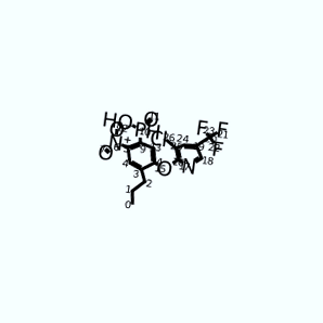 CCCc1cc([N+](=O)[O-])c([PH](=O)O)cc1Oc1ncc(C(F)(F)F)cc1Cl